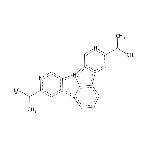 CC(C)c1cc2c3cccc4c5cc(C(C)C)ncc5n(c2cn1)c34